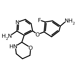 Nc1ccc(Oc2ccnc(N)c2C2NCCCO2)c(F)c1